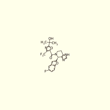 CC(C)(O)c1nc(C(F)(F)F)c(C(=O)N2CCc3[nH]cnc3[C@H]2c2cc3cc(F)ccc3o2)o1